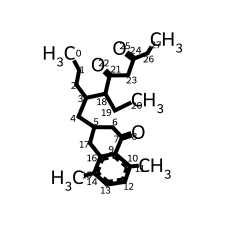 CCCC(CC1CC(=O)c2c(C)ccc(C)c2C1)C(CC)C(=O)CC(=O)CC